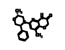 Cc1cc(N2C[C@@H](C)OCC2c2ccccc2)nc2c1OCC(=O)N2